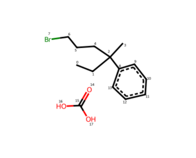 CCC(C)(CCCBr)c1ccccc1.O=C(O)O